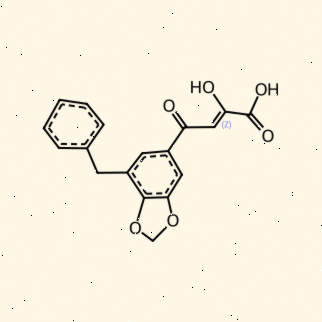 O=C(O)/C(O)=C/C(=O)c1cc(Cc2ccccc2)c2c(c1)OCO2